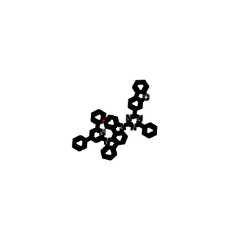 c1ccc(-c2cc(-c3ccccc3)nc(-n3c4ccccc4c4ccc5c(c6ccccc6n5-c5nc(-c6ccccc6)nc(-c6ccc7c(c6)oc6ccccc67)n5)c43)c2)cc1